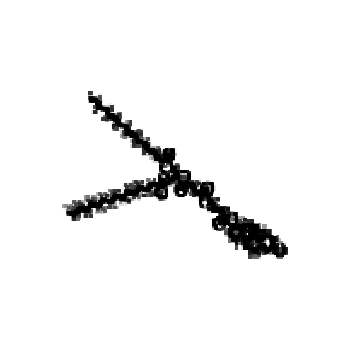 CCCCCCCCCCCCCCCC(=O)OCC(COC(=O)CCCCCCCCCCCCCCC)OC(=O)CCC(=O)OCCCC(=O)O[C@H]1CC[C@H]2[C@@H]3CCC4=CC(=O)CC[C@]4(C)[C@H]3CC[C@]12C